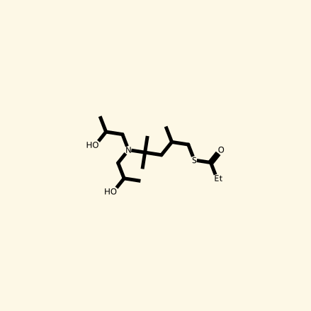 CCC(=O)SCC(C)CC(C)(C)N(CC(C)O)CC(C)O